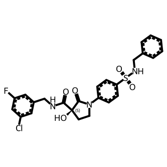 O=C(NCc1cc(F)cc(Cl)c1)[C@@]1(O)CCN(c2ccc(S(=O)(=O)NCc3ccccc3)cc2)C1=O